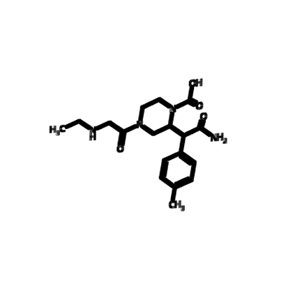 CCNCC(=O)N1CCN(C(=O)O)C(C(C(N)=O)c2ccc(C)cc2)C1